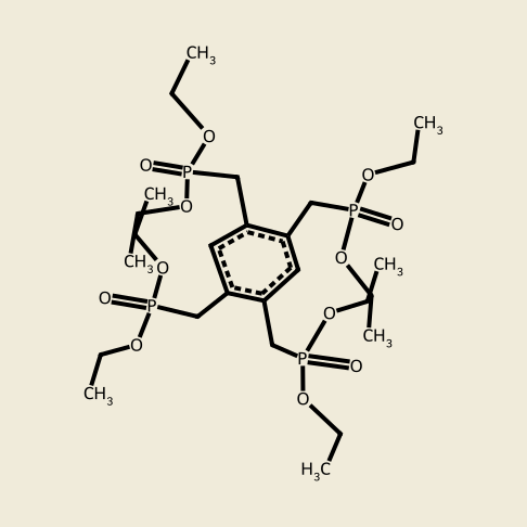 CCOP(=O)(Cc1cc(CP(=O)(OCC)OCC)c(CP(=O)(OCC)OCC)cc1CP(=O)(OCC)OCC)OCC